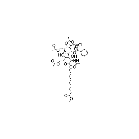 COC(=O)CCCCCCCCO[C@@H]1O[C@H](COC(C)=O)[C@@H](O)[C@@](O)([C@@H]2O[C@H](COC(C)=O)[C@H](OC(C)=O)[C@@](O)(C(=O)CCl)[C@H]2OC(=O)c2ccccc2)[C@H]1NC(C)=O